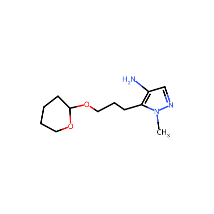 Cn1ncc(N)c1CCCOC1CCCCO1